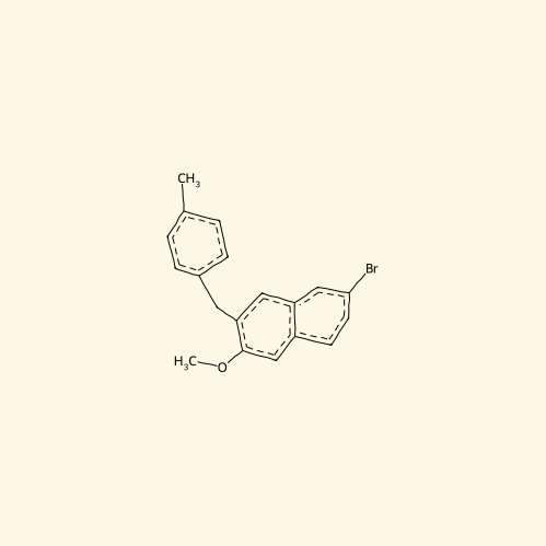 COc1cc2ccc(Br)cc2cc1Cc1ccc(C)cc1